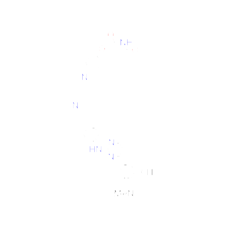 CNCc1ccc(-c2ccnc(Nc3ccc(C4CCN(CC5CCN(c6ccc(OC7CCC(=O)NC7=O)cc6)CC5)CC4)cc3)n2)cc1C